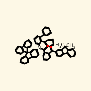 CC1(C)c2ccccc2-c2ccc(-c3ccc(N(c4ccc5c(c4)C(c4ccccc4)(c4ccccc4)c4ccccc4-5)c4cccc(-c5ccccc5)c4-c4ccccc4)c4ccccc34)cc21